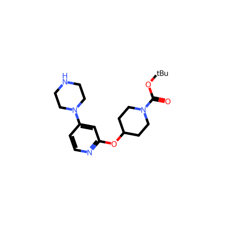 CC(C)(C)OC(=O)N1CCC(Oc2cc(N3CCNCC3)ccn2)CC1